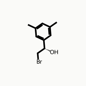 Cc1cc(C)cc([C@H](O)CBr)c1